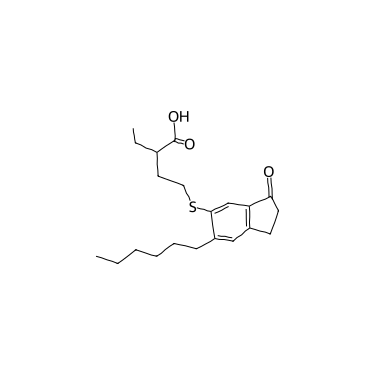 CCCCCCc1cc2c(cc1SCCC(CC)C(=O)O)C(=O)CC2